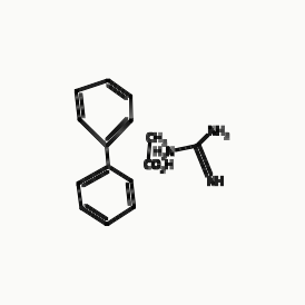 CC(=O)O.N=C(N)N.c1ccc(-c2ccccc2)cc1